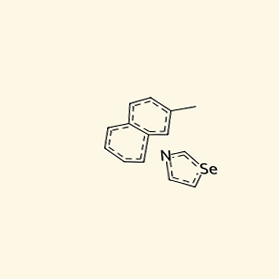 Cc1ccc2ccccc2c1.c1c[se]cn1